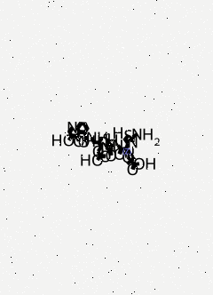 CC(C)(O/N=C(\C(=O)NC1C(=O)N2C(OC(=O)O)=C(CNC(=O)c3cccc4ncc(O)c(O)c34)CS[C@@H]12)c1csc(N)n1)C(=O)O